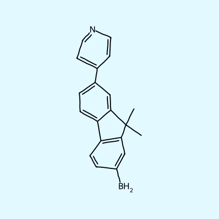 Bc1ccc2c(c1)C(C)(C)c1cc(-c3ccncc3)ccc1-2